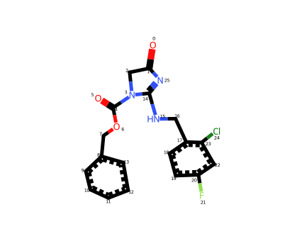 O=C1CN(C(=O)OCc2ccccc2)C(NCc2ccc(F)cc2Cl)=N1